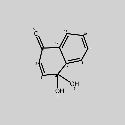 O=C1C=CC(O)(O)c2ccccc21